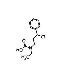 CCN(CCC(Cl)c1ccccc1)C(=O)O